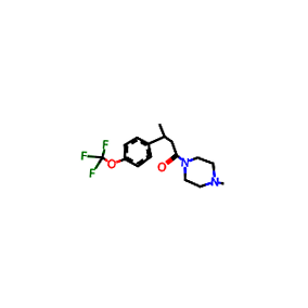 CC(CC(=O)N1CCN(C)CC1)c1ccc(OC(F)(F)F)cc1